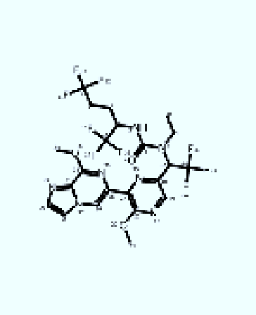 CCN(C(=O)NC(CCC(F)(F)F)C(F)(F)F)C(c1cnc(OC)c(-c2cn3ccnc3c(OC)n2)n1)C(F)(F)F